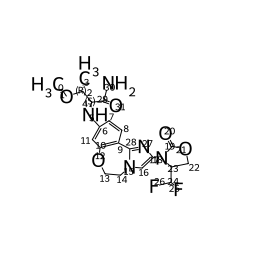 CO[C@H](C)[C@H](Nc1ccc2c(c1)OCCn1cc(N3C(=O)OCC3C(F)F)nc1-2)C(N)=O